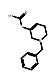 O=C(O)OC1=CCCN(Cc2ccccc2)C1